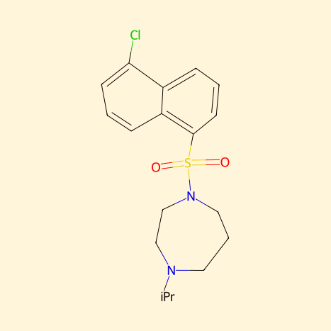 CC(C)N1CCCN(S(=O)(=O)c2cccc3c(Cl)cccc23)CC1